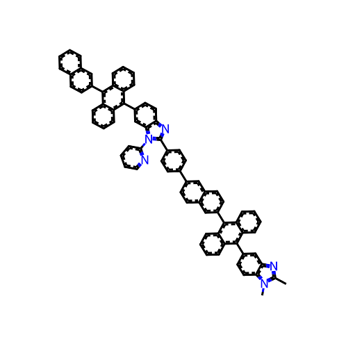 Cc1nc2cc(-c3c4ccccc4c(-c4ccc5cc(-c6ccc(-c7nc8ccc(-c9c%10ccccc%10c(-c%10ccc%11ccccc%11c%10)c%10ccccc9%10)cc8n7-c7ccccn7)cc6)ccc5c4)c4ccccc34)ccc2n1C